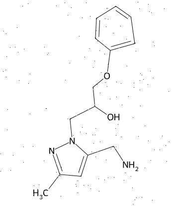 Cc1cc(CN)n(CC(O)COc2ccccc2)n1